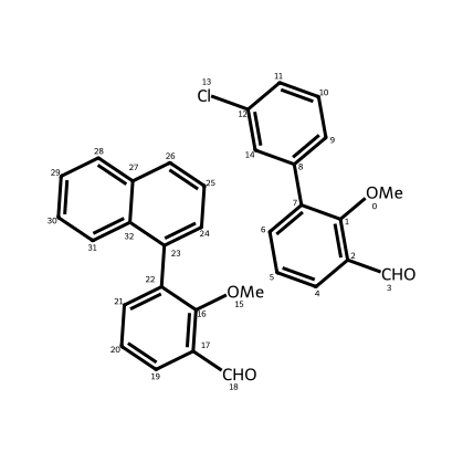 COc1c(C=O)cccc1-c1cccc(Cl)c1.COc1c(C=O)cccc1-c1cccc2ccccc12